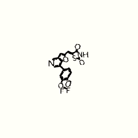 O=C1NC(=O)C(=Cc2cc3cncc(-c4ccc5c(c4)OC(F)(F)O5)c3o2)S1